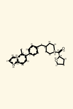 Cc1c(-c2ccc(CC3CCN(C(=O)[C@H]4CCCO4)CC3)cc2)ccc2nccn12